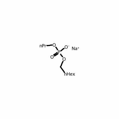 CCCCCCCOP(=O)([O-])OCCC.[Na+]